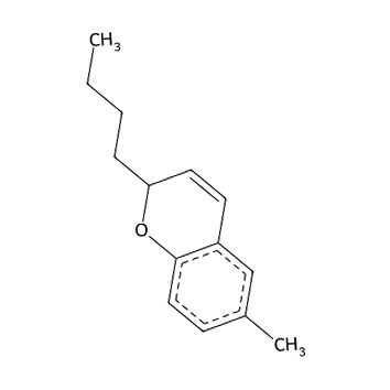 CCCCC1C=Cc2cc(C)ccc2O1